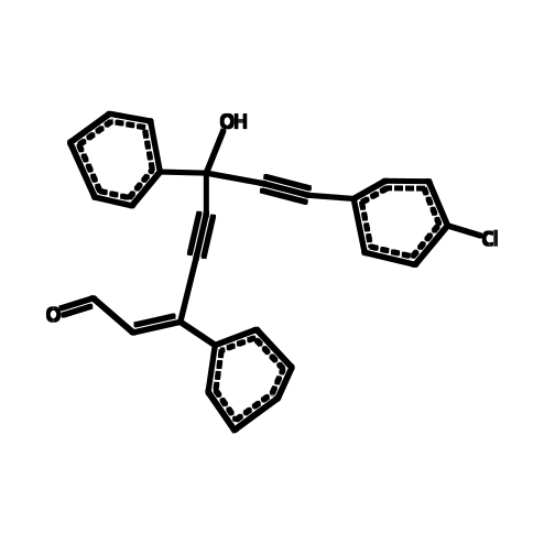 O=C/C=C(\C#CC(O)(C#Cc1ccc(Cl)cc1)c1ccccc1)c1ccccc1